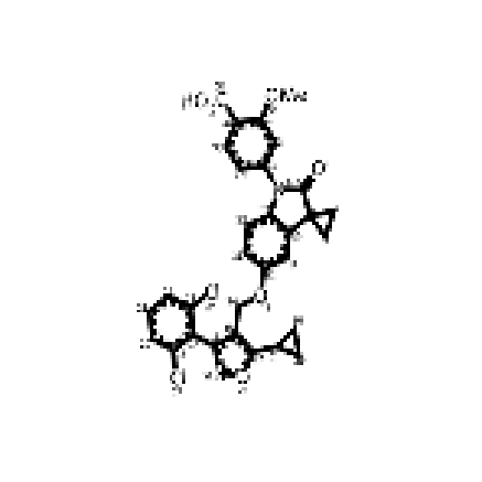 COc1cc(N2C(=O)C3(CC3)c3cc(OCc4c(-c5c(Cl)cccc5Cl)noc4C4CC4)ccc32)ccc1C(=O)O